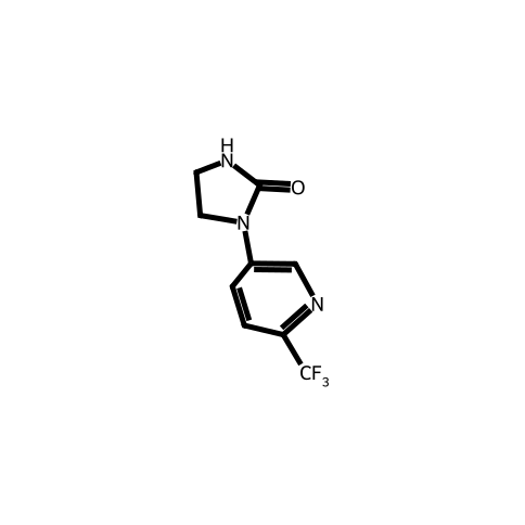 O=C1NCCN1c1ccc(C(F)(F)F)nc1